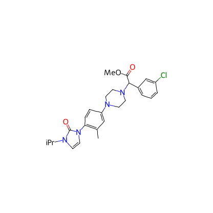 COC(=O)C(c1cccc(Cl)c1)N1CCN(c2ccc(-n3ccn(C(C)C)c3=O)c(C)c2)CC1